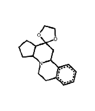 c1ccc2c(c1)CCN1C2CC2(OCCO2)C2CCCC21